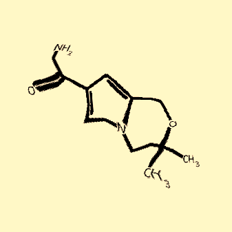 CC1(C)Cn2cc(C(N)=O)cc2CO1